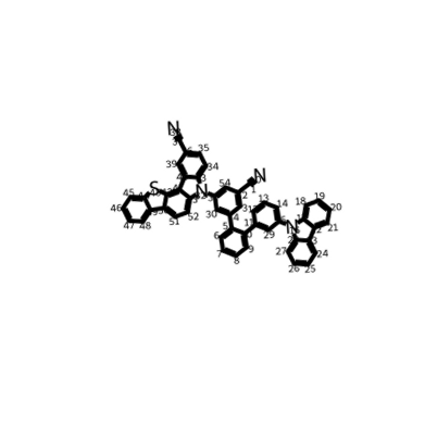 N#Cc1cc(-c2ccccc2-c2cccc(-n3c4ccccc4c4ccccc43)c2)cc(-n2c3ccc(C#N)cc3c3c4sc5ccccc5c4ccc32)c1